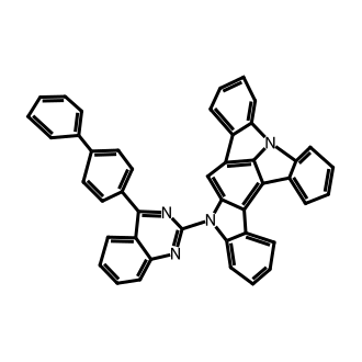 c1ccc(-c2ccc(-c3nc(-n4c5ccccc5c5c6c7ccccc7n7c8ccccc8c(cc54)c67)nc4ccccc34)cc2)cc1